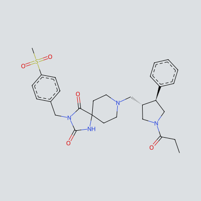 CCC(=O)N1C[C@H](CN2CCC3(CC2)NC(=O)N(Cc2ccc(S(C)(=O)=O)cc2)C3=O)[C@@H](c2ccccc2)C1